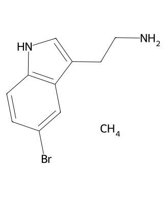 C.NCCc1c[nH]c2ccc(Br)cc12